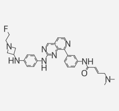 CN(C)CC=CC(=O)Nc1cccc(-c2nccc3cnc(Nc4ccc(NC5CN(CCF)C5)cc4)nc23)c1